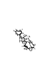 C=C(N/N=C1/CCOc2cccnc21)Nc1ccccn1